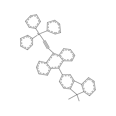 CC1(C)c2ccccc2-c2cc(-c3c4ccccc4c(C#C[Si](c4ccccc4)(c4ccccc4)c4ccccc4)c4ccccc34)ccc21